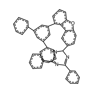 c1ccc(C2=NC(c3ccc4oc5cccc(-c6cc(-c7ccccc7)cc(-c7ccccc7)c6)c5c4c3)NC(c3ccccc3)=N2)cc1